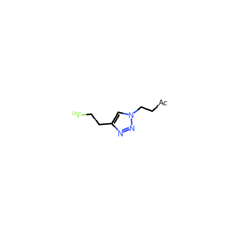 CC(=O)CCn1cc(CC[18F])nn1